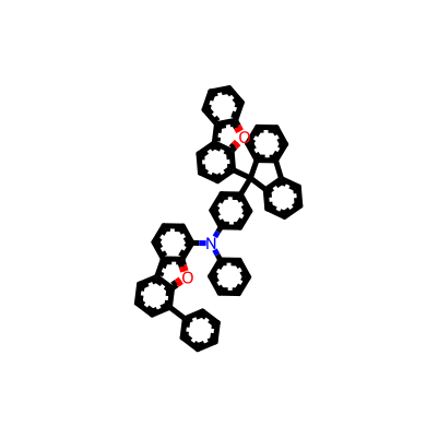 c1ccc(-c2cccc3c2oc2c(N(c4ccccc4)c4ccc(C5(c6cccc7c6oc6ccccc67)c6ccccc6-c6ccccc65)cc4)cccc23)cc1